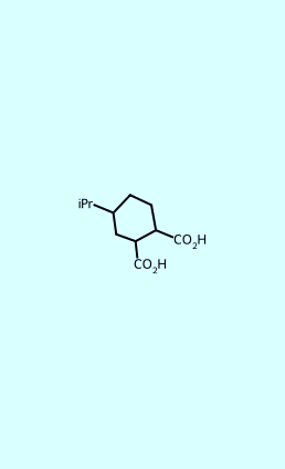 CC(C)C1CCC(C(=O)O)C(C(=O)O)C1